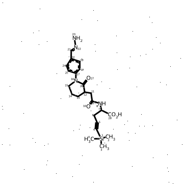 C[Si](C)(C)C#CCC(NC(=O)CC1CCCN(c2ccc(C=NN)cc2)C1=O)C(=O)O